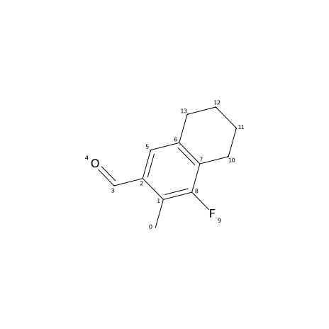 Cc1c(C=O)cc2c(c1F)CCCC2